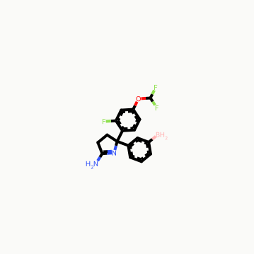 Bc1cccc(C2(c3ccc(OC(F)F)cc3F)CCC(N)=N2)c1